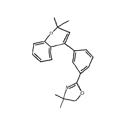 CC1(C)COC(c2cccc(C3=CC(C)(C)Oc4ccccc43)c2)=N1